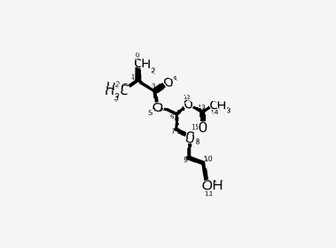 C=C(C)C(=O)OC(COCCO)OC(C)=O